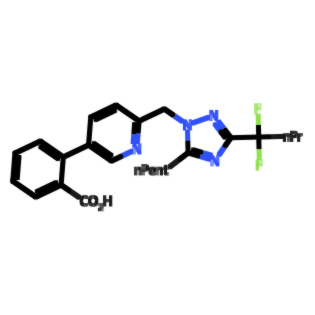 CCCCCc1nc(C(F)(F)CCC)nn1Cc1ccc(-c2ccccc2C(=O)O)cn1